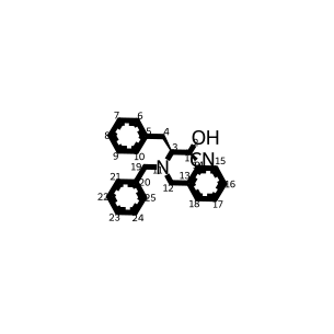 N#C[C@H](O)[C@H](Cc1ccccc1)N(Cc1ccccc1)Cc1ccccc1